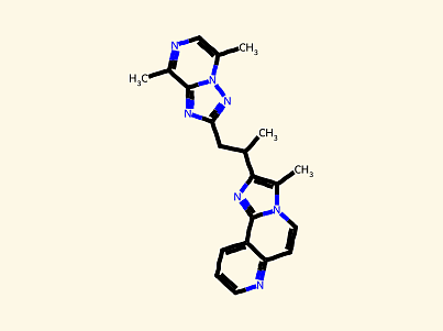 Cc1ncc(C)n2nc(CC(C)c3nc4c5cccnc5ccn4c3C)nc12